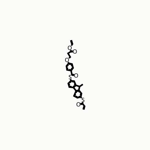 C=COC(=O)CCOc1ccc(C(=O)Sc2ccc3c(c2)C(C)c2cc(SC(=O)C=C)ccc2-3)cc1